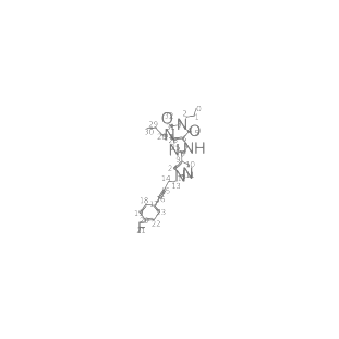 CCCn1c(=O)c2[nH]c(-c3cnn(CCC#Cc4ccc(F)cc4)c3)nc2n(CCC)c1=O